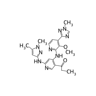 CCC(=O)c1cnc(Nc2cc(C)n(C)n2)cc1Nc1nccc(-c2ncn(C)n2)c1OC